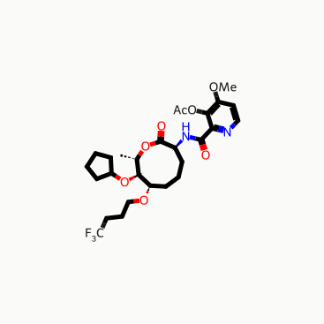 COc1ccnc(C(=O)N[C@H]2CCC[C@H](OCCCC(F)(F)F)[C@@H](OC3CCCC3)[C@H](C)OC2=O)c1OC(C)=O